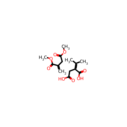 C=C(CC(=O)OC)C(=O)OC.CC(C)=C(CC(=O)O)C(=O)O